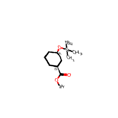 CC(C)OC(=O)[C@H]1CCC[C@@H](O[Si](C)(C)C(C)(C)C)C1